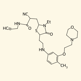 C#CCNC(=O)C(C#N)CC1SC(CCNc2ccc(C)c(OCCN3CCOCC3)c2)C(=O)N1CC